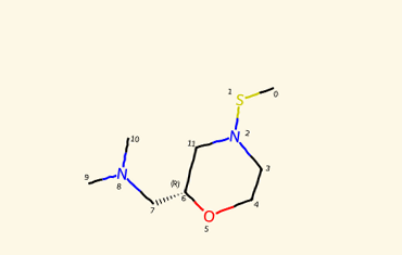 CSN1CCO[C@H](CN(C)C)C1